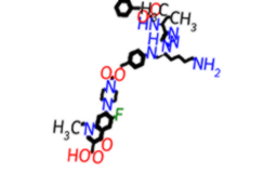 CCn1cc(C(=O)O)c(=O)c2cc(F)c(N3CCN(C(=O)OCc4ccc(NC[C@H](CCCCN)n5cc([C@@H](NC(=O)OCc6ccccc6)C(C)C)nn5)cc4)CC3)cc21